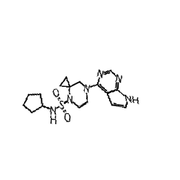 O=S(=O)(NC1CCCC1)N1CCN(c2ncnc3[nH]ccc23)CC12CC2